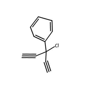 C#CC(Cl)(C#C)c1ccccc1